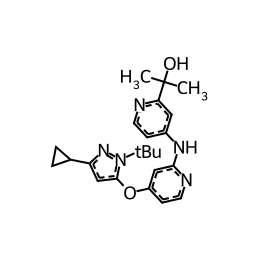 CC(C)(O)c1cc(Nc2cc(Oc3cc(C4CC4)nn3C(C)(C)C)ccn2)ccn1